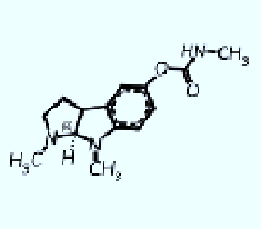 CNC(=O)Oc1ccc2c(c1)C1CCN(C)[C@@H]1N2C